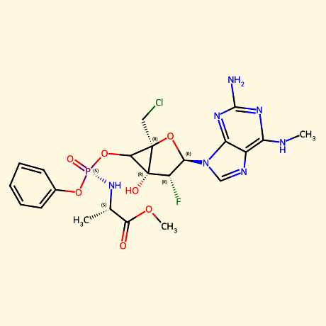 CNc1nc(N)nc2c1ncn2[C@@H]1O[C@]2(CCl)C(O[P@@](=O)(N[C@@H](C)C(=O)OC)Oc3ccccc3)[C@]2(O)[C@H]1F